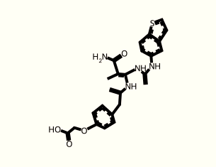 C=C(Cc1ccc(OCC(=O)O)cc1)N/C(NC(=C)Nc1ccc2sccc2c1)=C(\C)C(N)=O